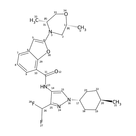 C[C@@H]1CN(c2cc3cccc(C(=O)Nc4cn([C@H]5CC[C@H](C)CC5)nc4C(F)F)c3o2)[C@H](C)CO1